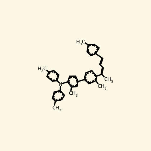 CC(=CC=Cc1ccc(C)cc1)c1ccc(-c2ccc(N(c3ccc(C)cc3)c3ccc(C)cc3)c(C)c2)cc1C